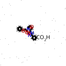 O=C(O)c1cccc(-c2noc(C3COCCN3C(=O)COc3ccccc3)n2)c1